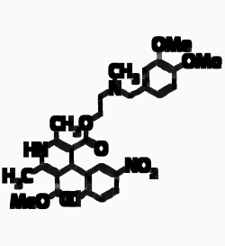 COC(=O)C1=C(C)NC(C)=C(C(=O)OCCN(C)Cc2ccc(OC)c(OC)c2)C1c1cc([N+](=O)[O-])ccc1Cl